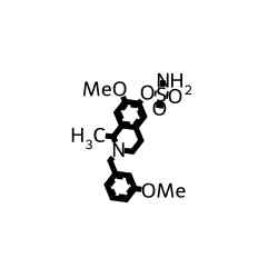 COc1cccc(CN2CCc3cc(OS(N)(=O)=O)c(OC)cc3C2C)c1